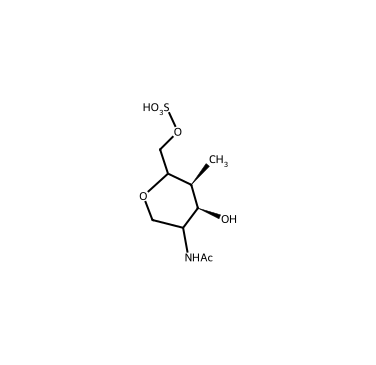 CC(=O)NC1COC(COS(=O)(=O)O)[C@@H](C)[C@H]1O